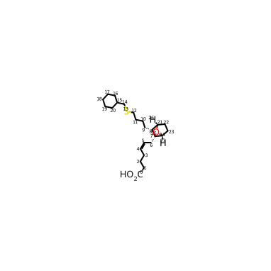 O=C(O)CCC/C=C\C[C@@H]1[C@H](CCCCSCC2CCCCC2)[C@@H]2CC[C@H]1O2